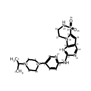 CC(C)N1CCN(c2ccc(Nc3ncc4cc5n(c4n3)CCNS5(=O)=O)nc2)CC1